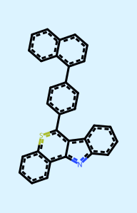 c1ccc2c(-c3ccc(-c4sc5ccccc5c5nc6ccccc6c4-5)cc3)cccc2c1